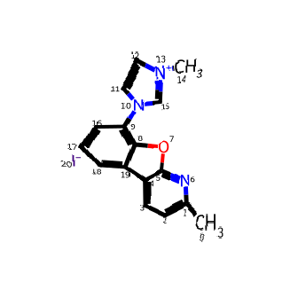 Cc1ccc2c(n1)oc1c(-n3cc[n+](C)c3)cccc12.[I-]